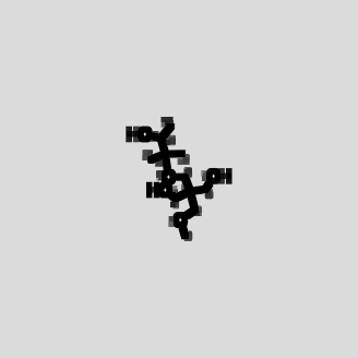 COCC(CO)(CO)COC(C)(C)C(C)O